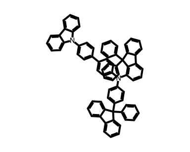 c1ccc(C2(c3ccc(N(c4ccc(-c5ccc(-n6c7ccccc7c7ccccc76)cc5)cc4)c4cccc5c4C(c4ccccc4)(c4ccccc4)c4ccccc4-5)cc3)c3ccccc3-c3ccccc32)cc1